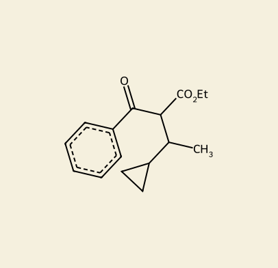 CCOC(=O)C(C(=O)c1ccccc1)C(C)C1CC1